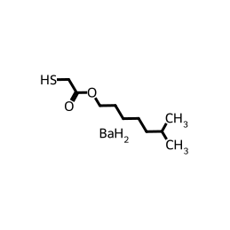 CC(C)CCCCCOC(=O)CS.[BaH2]